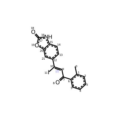 Cc1ccccc1C(=O)/C=C(\I)c1ccc2[nH]c(=O)oc2c1